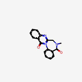 CN1Cc2nc3ccccc3c(=O)n2-c2ccccc2C1=O